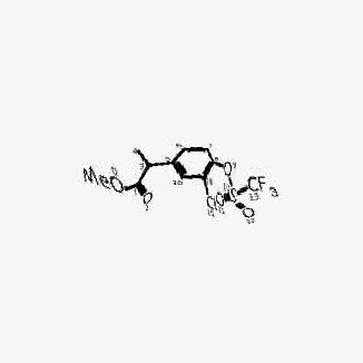 COC(=O)C(C)c1ccc(OS(=O)(=O)C(F)(F)F)c(Cl)c1